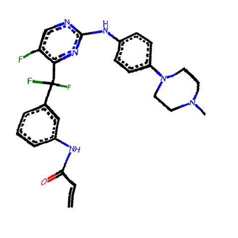 C=CC(=O)Nc1cccc(C(F)(F)c2nc(Nc3ccc(N4CCN(C)CC4)cc3)ncc2F)c1